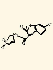 O=C(N[C@@H]1C=CS(=O)(=O)C1)c1cc2ccc(Cl)cc2[nH]c1=O